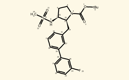 CC(C)(C)OC(=O)N1CC[C@H](NS(C)(=O)=O)[C@@H]1Cc1cccc(-c2cccc(F)c2)c1